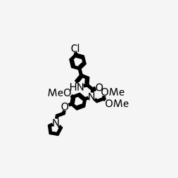 COc1cc(N(CC(OC)OC)C(=O)c2cc(-c3ccc(Cl)cc3)c[nH]2)ccc1OCCN1CCCC1